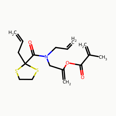 C=CCN(CC(=C)OC(=O)C(=C)C)C(=O)C1(CC=C)SCCS1